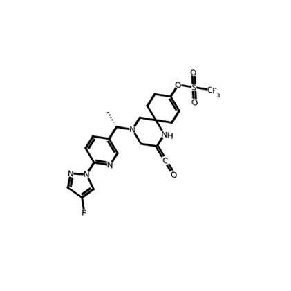 C[C@@H](c1ccc(-n2cc(F)cn2)nc1)N1CC(=C=O)NC2(CC=C(OS(=O)(=O)C(F)(F)F)CC2)C1